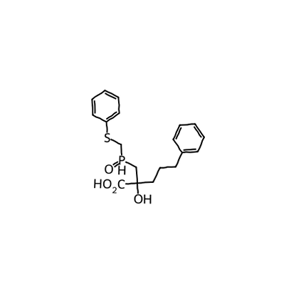 O=C(O)C(O)(CCCc1ccccc1)C[PH](=O)CSc1ccccc1